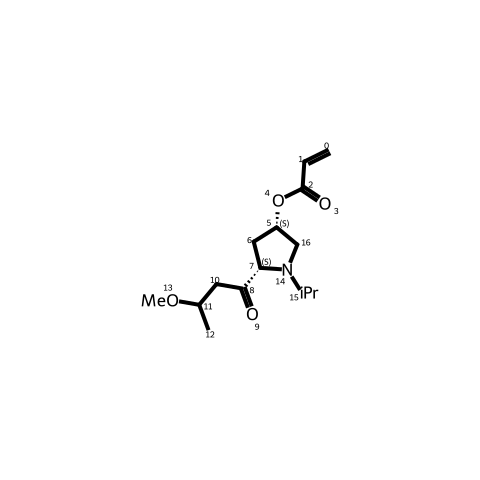 C=CC(=O)O[C@H]1C[C@@H](C(=O)CC(C)OC)N(C(C)C)C1